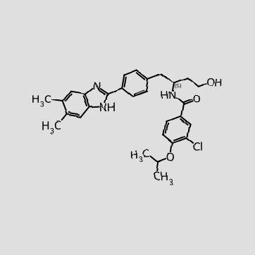 Cc1cc2nc(-c3ccc(C[C@@H](CCO)NC(=O)c4ccc(OC(C)C)c(Cl)c4)cc3)[nH]c2cc1C